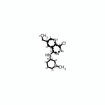 CCc1cnc2c(Cl)nnc(N[C@@H]3CCCN(C)C3)c2c1